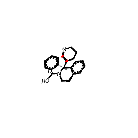 O=C(O)N1CCc2ccccc2[C@]1(c1ccccc1)C1CN2CCC1CC2